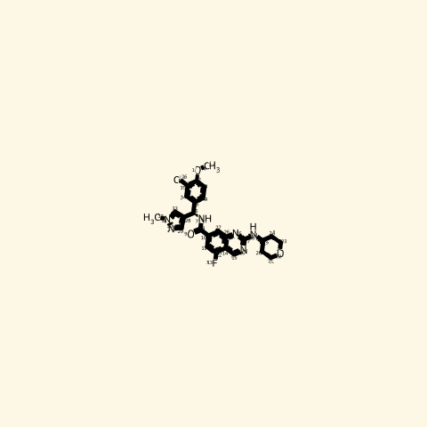 COc1ccc([C@H](NC(=O)c2cc(F)c3cnc(NC4CCOCC4)nc3c2)c2cnn(C)c2)cc1Cl